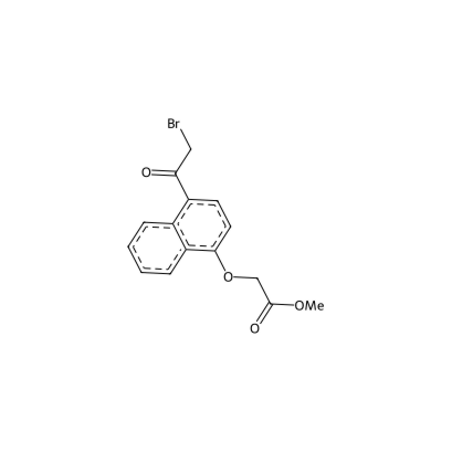 COC(=O)COc1ccc(C(=O)CBr)c2ccccc12